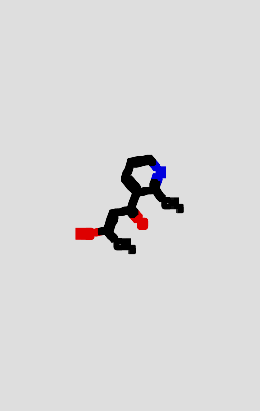 C/C(O)=C\C(=O)c1cccnc1C